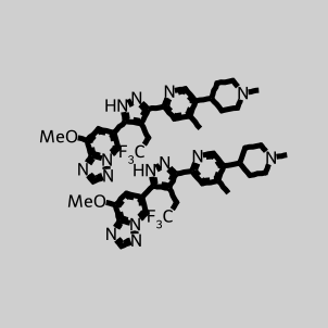 COc1cc(-c2[nH]nc(-c3cc(C)c(C4CCN(C)CC4)cn3)c2CC(F)(F)F)cn2ncnc12.COc1cc(-c2[nH]nc(-c3cc(C)c(C4CCN(C)CC4)cn3)c2CC(F)(F)F)cn2ncnc12